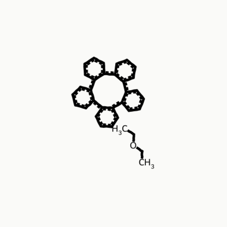 CCOCC.c1ccc2c(c1)c1ccccc1c1ccccc1c1ccccc1c1ccccc21